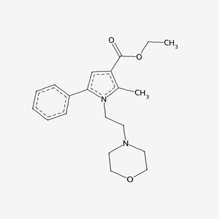 CCOC(=O)c1cc(-c2ccccc2)n(CCN2CCOCC2)c1C